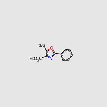 CCOC(=O)c1nc(-c2ccccc2)oc1C(C)(C)C